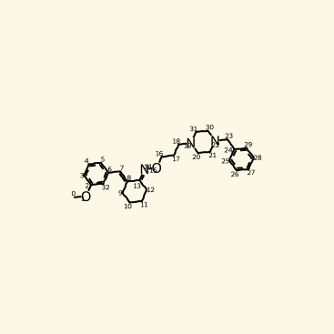 COc1cccc(C=C2CCCCC2=NOCCCN2CCN(Cc3ccccc3)CC2)c1